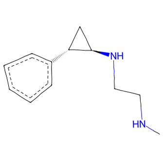 CNCCN[C@@H]1C[C@H]1c1ccccc1